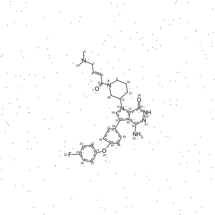 CN(C)CC=CC(=O)N1CCCC(n2cc(-c3ccc(Oc4ccc(F)cc4)cc3)c3c(N)n[nH]c(=O)c32)C1